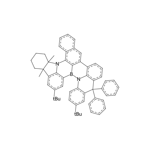 CC(C)(C)c1ccc2c(c1)C(c1ccccc1)(c1ccccc1)c1cccc3c1N2B1c2cc(C(C)(C)C)cc4c2N(c2c1c-3cc1ccccc21)C1(C)CCCCC41C